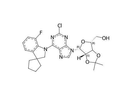 CC1(C)OC2[C@@H](CO)O[C@@H](n3cnc4c(N5CC6(CCCC6)c6cccc(F)c65)nc(Cl)nc43)[C@H]2O1